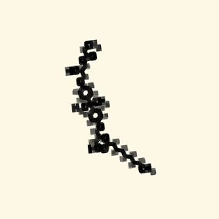 C=CC(=O)OCC(O)COc1ccc(C(C)(C)c2ccc(OCC(CO)OC(=O)CCCCCCCC)cc2)cc1